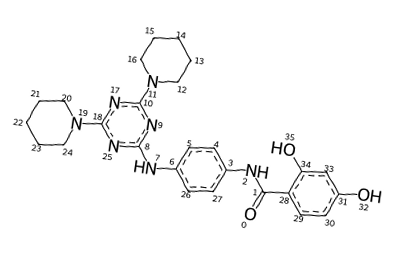 O=C(Nc1ccc(Nc2nc(N3CCCCC3)nc(N3CCCCC3)n2)cc1)c1ccc(O)cc1O